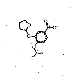 O=[N+]([O-])c1ccc(OC(F)F)c(OC2CCCO2)c1